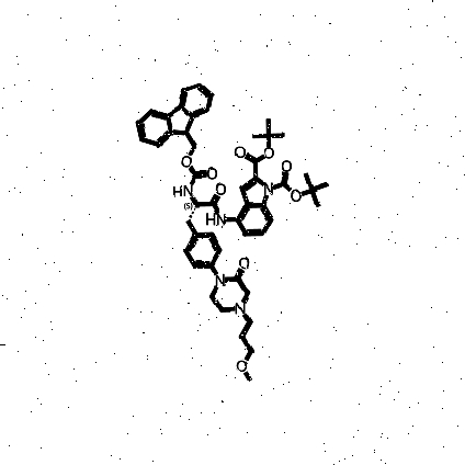 COCCCN1CCN(c2ccc(C[C@H](NC(=O)OCC3c4ccccc4-c4ccccc43)C(=O)Nc3cccc4c3cc(C(=O)OC(C)(C)C)n4C(=O)OC(C)(C)C)cc2)C(=O)C1